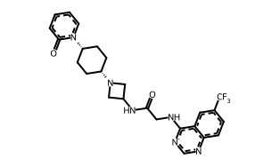 O=C(CNc1ncnc2ccc(C(F)(F)F)cc12)NC1CN([C@H]2CC[C@@H](n3ccccc3=O)CC2)C1